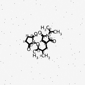 CC(CC1=CC(=O)N(C(C)C)C1=O)C(C)ON1C(=O)CCC1=O